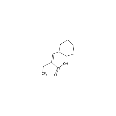 O=[PH](O)/C(=C\C1CCCCC1)CC(F)(F)F